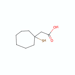 O=C(O)CC1(S)CCCCCC1